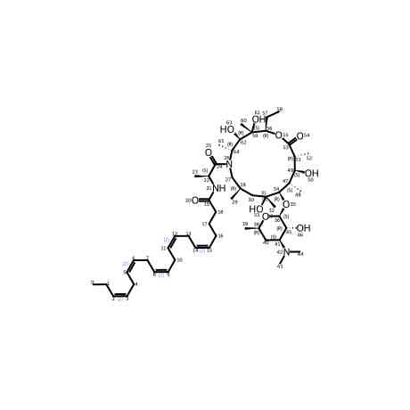 CC/C=C\C/C=C\C/C=C\C/C=C\C/C=C\CCCC(=O)N[C@@H](C)C(=O)N1C[C@H](C)C[C@@](C)(O)[C@H](O[C@@H]2O[C@H](C)C[C@H](N(C)C)[C@H]2O)[C@@H](C)[C@H](O)[C@@H](C)C(=O)O[C@H](CC)[C@@](C)(O)[C@H](O)[C@H]1C